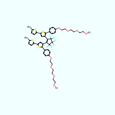 CCOCCOCCOCCOc1ccc(-c2sc(-c3ccc(C(C)(C)C)s3)cc2C2=C(c3cc(-c4ccc(C(C)(C)C)s4)sc3-c3ccc(OCCOCCOCCOCC)cc3)C(F)(F)C(F)(F)C2(F)F)cc1